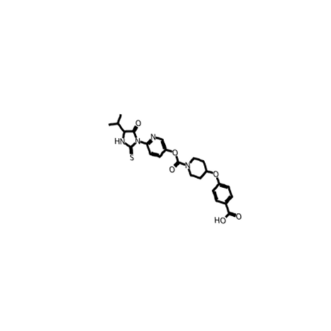 CC(C)C1NC(=S)N(c2ccc(OC(=O)N3CCC(Oc4ccc(C(=O)O)cc4)CC3)cn2)C1=O